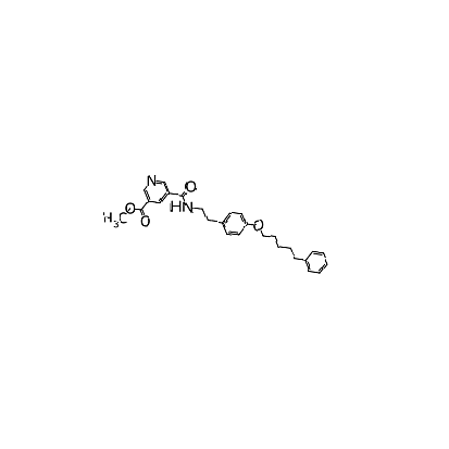 COC(=O)c1cncc(C(=O)NCCc2ccc(OCCCCCc3ccccc3)cc2)c1